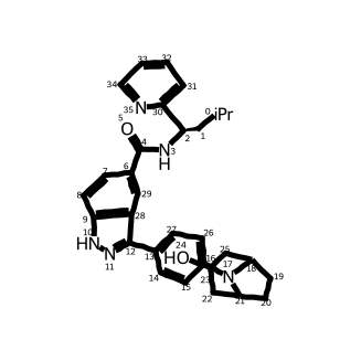 CC(C)C[C@@H](NC(=O)c1ccc2[nH]nc(-c3ccc(N4C5CCC4CC(O)C5)cc3)c2c1)c1ccccn1